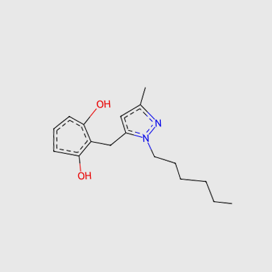 CCCCCCn1nc(C)cc1Cc1c(O)cccc1O